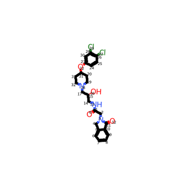 O=C(CN1Cc2ccccc2C1=O)NC[C@@H](O)CN1CCC(Oc2ccc(Cl)c(Cl)c2)CC1